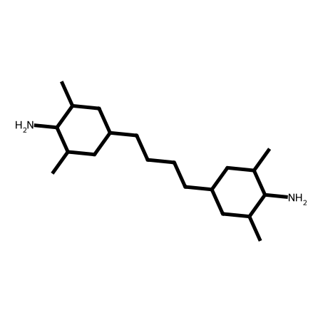 CC1CC(CCCCC2CC(C)C(N)C(C)C2)CC(C)C1N